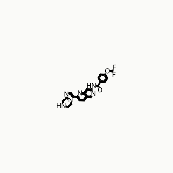 O=C(Nc1cc2nc(-c3cnc4n3CCNC4)ccc2cn1)c1ccc(OC(F)F)cc1